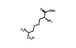 CCOC(=O)[C@@H](N)CSSC[C@H](N)C(=O)OC